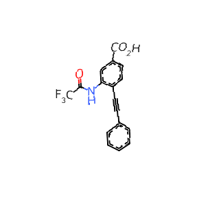 O=C(O)c1ccc(C#Cc2ccccc2)c(NC(=O)C(F)(F)F)c1